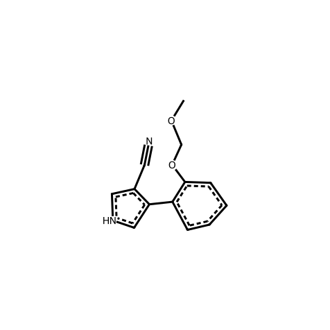 COCOc1ccccc1-c1c[nH]cc1C#N